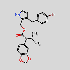 CC(C)C(C(=O)OCc1[nH]ccc1Cc1ccc(Br)cc1)c1ccc2c(c1)OCO2